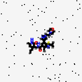 CCCc1cc(C)[nH]c(=O)c1CNC(=O)c1cc(-c2cnn(CCN3CCOCC3)c2)c2sc(C(C)C)nc2c1C